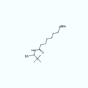 CCCCCCCCCCCCCCCC(=O)NC(CC)[N+](C)(C)C